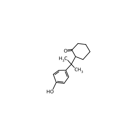 CC(C)(c1ccc(O)cc1)C1CCCCC1=O